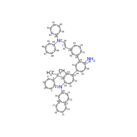 CC1(C)c2ccccc2N(c2ccc3ccccc3c2)c2ccc(-c3ccc(N)c(-c4cccc(/C=C/N(c5ccccc5)c5ccccc5)c4)c3)cc21